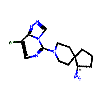 N[C@@H]1CCCC12CCN(c1ncc(Br)c3nncn13)CC2